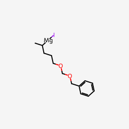 C[CH](CCCOCOCc1ccccc1)[Mg][I]